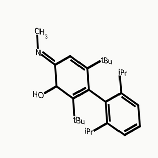 CN=C1C=C(C(C)(C)C)C(c2c(C(C)C)cccc2C(C)C)=C(C(C)(C)C)C1O